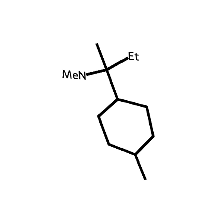 CCC(C)(NC)C1CCC(C)CC1